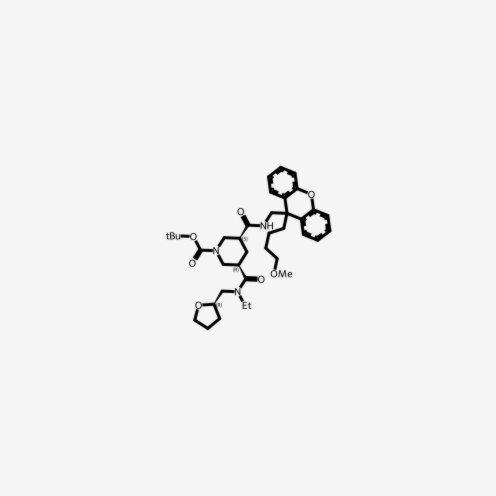 CCN(C[C@H]1CCCO1)C(=O)[C@@H]1C[C@H](C(=O)NCC2(CCCCOC)c3ccccc3Oc3ccccc32)CN(C(=O)OC(C)(C)C)C1